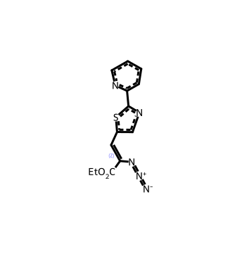 CCOC(=O)/C(=C/c1cnc(-c2ccccn2)s1)N=[N+]=[N-]